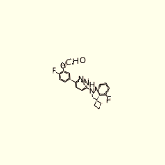 O=COc1cc(-c2ccc(NCC3(c4ncccc4F)CCC3)nn2)ccc1F